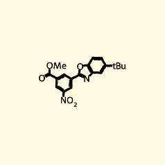 COC(=O)c1cc(-c2nc3cc(C(C)(C)C)ccc3o2)cc([N+](=O)[O-])c1